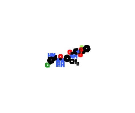 Cc1cc(NC(=O)Nc2c[nH]c3ccc(Cl)cc23)ccc1NC(=O)C1CCN(S(=O)(=O)Cc2ccccc2F)C1